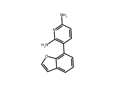 Nc1ccc(-c2cccc3ccoc23)c(N)n1